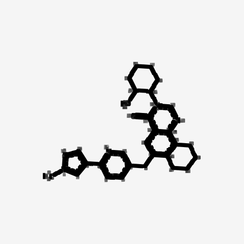 Cn1cc(-c2ccc(Cc3cc4c(=O)n(C5CCCCC5O)cnc4c4c3CCCC4)cn2)cn1